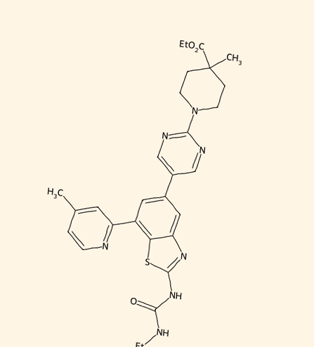 CCNC(=O)Nc1nc2cc(-c3cnc(N4CCC(C)(C(=O)OCC)CC4)nc3)cc(-c3cc(C)ccn3)c2s1